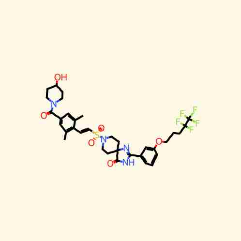 Cc1cc(C(=O)N2CCC(O)CC2)cc(C)c1/C=C/S(=O)(=O)N1CCC2(CC1)N=C(c1cccc(OCCCC(F)(F)C(F)(F)F)c1)NC2=O